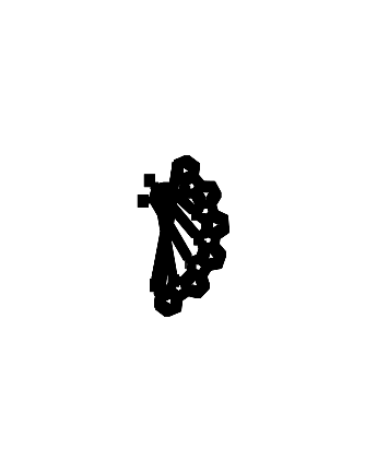 c1cc2c3ccc4c5ccc6c7c5n5c4c3n3c2c2c1-c1ccc4c8ccc9c%10ccc-6c6c%10n%10c9c8n8c4c1B2C1C3C5[C@H](B76)[C@H]%10C18